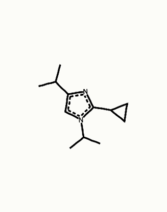 CC(C)c1cn(C(C)C)c(C2CC2)n1